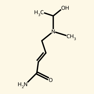 CC(O)N(C)CC=CC(N)=O